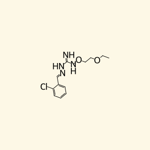 CCOCCONC(=N)N/N=C/c1ccccc1Cl